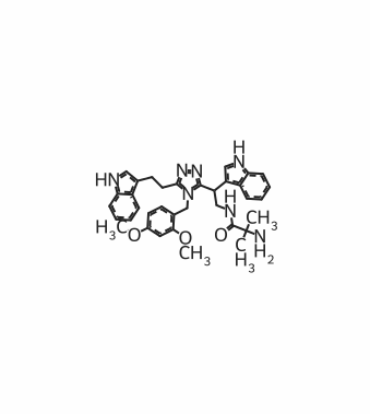 COc1ccc(Cn2c(CCc3c[nH]c4ccccc34)nnc2C(CNC(=O)C(C)(C)N)c2c[nH]c3ccccc23)c(OC)c1